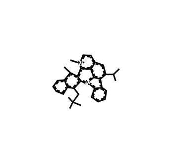 Cc1c2ccccc2c(CC(C)(C)C)c2c1c1c3c(cc[n+]1C)cc(C(C)C)c1c4ccccc4n2c13